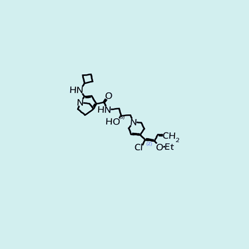 C=C/C(OCC)=C(/Cl)C1=CCN(C[C@@H](O)CNC(=O)C2=C3CCN(C3)C(NC3CCC3)=C2)CC1